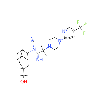 CC(C)(C(=N)N(C#N)C1C2CC3CC1CC(C(C)(C)O)(C3)C2)N1CCN(c2ccc(C(F)(F)F)cn2)CC1